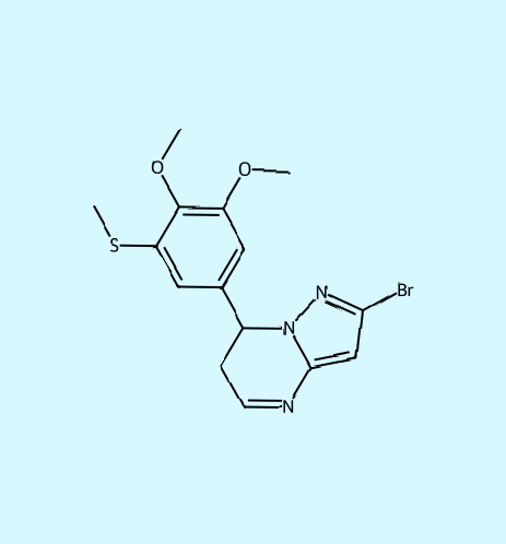 COc1cc(C2CC=Nc3cc(Br)nn32)cc(SC)c1OC